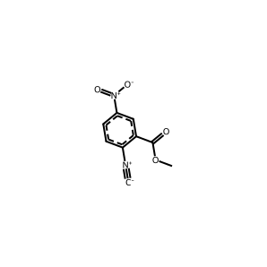 [C-]#[N+]c1ccc([N+](=O)[O-])cc1C(=O)OC